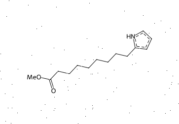 COC(=O)CCCCCCCCc1ccc[nH]1